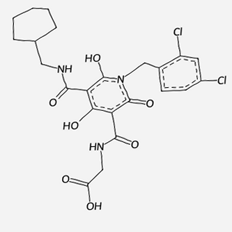 O=C(O)CNC(=O)c1c(O)c(C(=O)NCC2CCCCC2)c(O)n(Cc2ccc(Cl)cc2Cl)c1=O